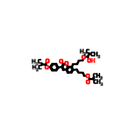 C=C(C)C(=O)OCCCCc1ccc2cc(-c3ccc(OC(=O)C(=C)C)cc3)c(=O)oc2c1CCCCOC(O)C(=C)C